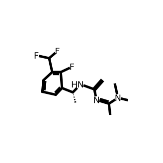 C=C(/N=C(/C)N(C)C)N[C@H](C)c1cccc(C(F)F)c1F